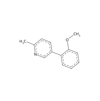 COc1ccccc1-c1ccc(C)nc1